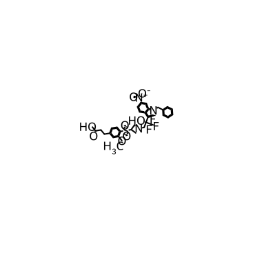 COc1cc(CCC(=O)O)ccc1S(=O)(=O)C1CN(CC(O)(c2cn(Cc3ccccc3)c3cc([N+](=O)[O-])ccc23)C(F)(F)F)C1